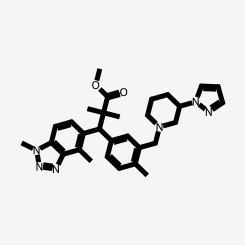 COC(=O)C(C)(C)C(c1ccc(C)c(CN2CCCC(n3cccn3)C2)c1)c1ccc2c(nnn2C)c1C